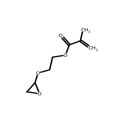 C=C(C)C(=O)OCCOC1CO1